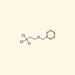 ClC(Cl)(Cl)CCOCc1ccccc1